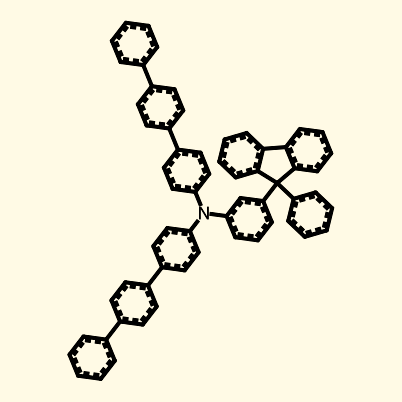 c1ccc(-c2ccc(-c3ccc(N(c4ccc(-c5ccc(-c6ccccc6)cc5)cc4)c4cccc(C5(c6ccccc6)c6ccccc6-c6ccccc65)c4)cc3)cc2)cc1